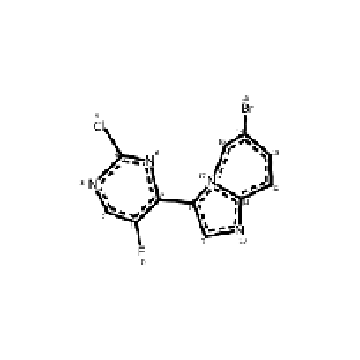 Fc1cnc(Cl)nc1-c1cnc2ccc(Br)cn12